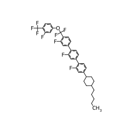 CCCCCC1CCC(c2ccc(-c3ccc(-c4ccc(C(F)(F)Oc5ccc(C(F)(F)F)c(F)c5)c(F)c4)c(F)c3)c(F)c2)CC1